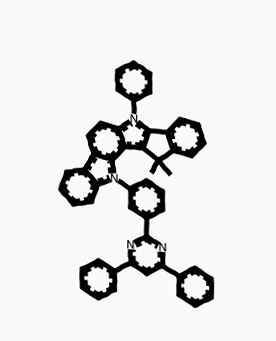 CC1(C)c2ccccc2-c2c1c1c(ccc3c4ccccc4n(-c4cccc(-c5nc(-c6ccccc6)cc(-c6ccccc6)n5)c4)c31)n2-c1ccccc1